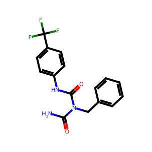 NC(=O)N(Cc1ccccc1)C(=O)Nc1ccc(C(F)(F)F)cc1